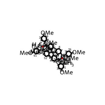 COc1ccc(N(c2ccc3c(c2)C2(c4cc(N(c5ccc(OC)cc5)C(C)C(C)OC)ccc4-3)c3cc(N(c4ccc(OC)cc4)C(C)[C@H](C)OC)ccc3-c3ccc(N(c4ccc(OC)cc4)C(C)[C@@H](C)OC)cc32)C(C)C(C)OC)cc1